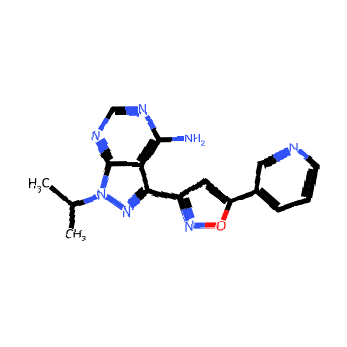 CC(C)n1nc(-c2cc(-c3cccnc3)on2)c2c(N)ncnc21